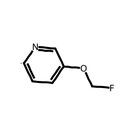 FCOc1cc[c]nc1